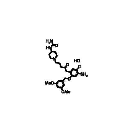 COc1cc(COc2cc(N)c(Cl)cc2CC(=O)CCCN2CCC(NC(N)=O)CC2)cc(OC)c1.Cl